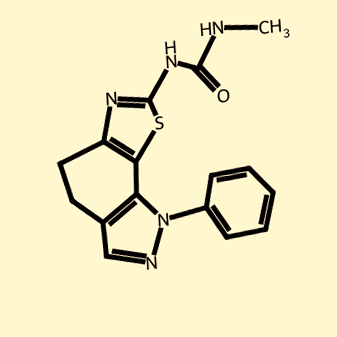 CNC(=O)Nc1nc2c(s1)-c1c(cnn1-c1ccccc1)CC2